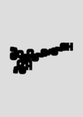 C=CC(=O)OCC(C)(COC(=O)C=C)NC(=O)OCCOCCOCCO